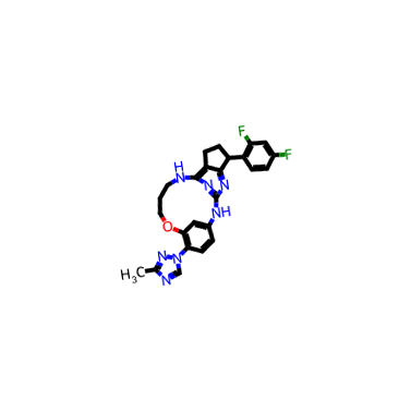 Cc1ncn(-c2ccc3cc2OCCCNc2nc(nc4c2CCC4c2ccc(F)cc2F)N3)n1